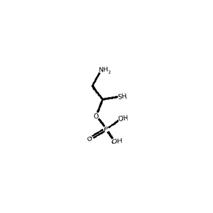 NCC(S)OP(=O)(O)O